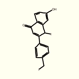 O=C1C=C(c2ccc(CI)cc2)C(I)c2cc(O)ccc21